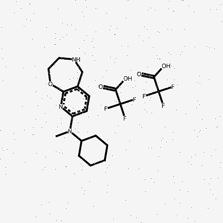 CN(c1ccc2c(n1)OCCNC2)C1CCCCC1.O=C(O)C(F)(F)F.O=C(O)C(F)(F)F